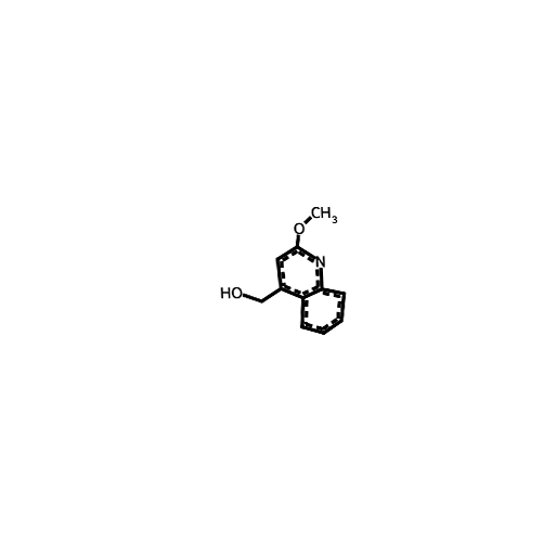 COc1cc(CO)c2ccccc2n1